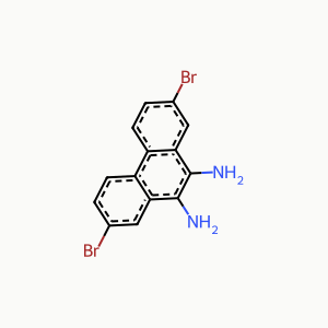 Nc1c(N)c2cc(Br)ccc2c2ccc(Br)cc12